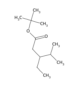 CCC(CC(=O)OC(C)(C)C)C(C)C